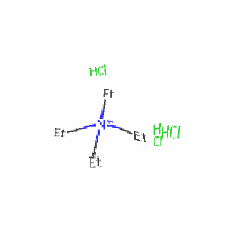 CC[N+](CC)(CC)CC.Cl.Cl.Cl